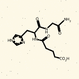 NC(=O)CNC(=O)C(Cc1c[nH]cn1)NC(=O)CCCC(=O)O